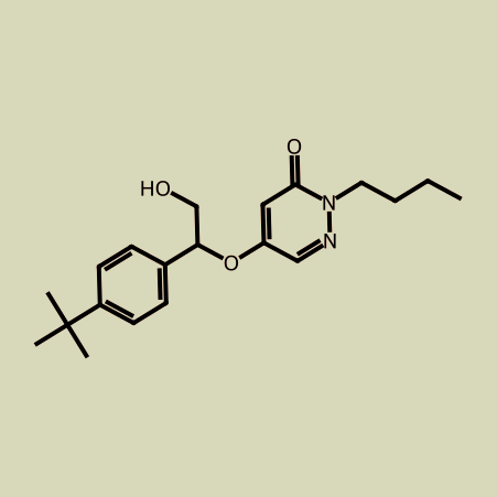 CCCCn1ncc(OC(CO)c2ccc(C(C)(C)C)cc2)cc1=O